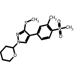 CSc1nn(C2CCCCO2)cc1-c1ccc(S(C)(=O)=O)c(C)c1